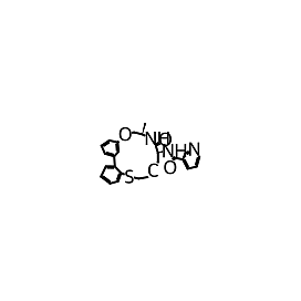 C[C@@H]1COc2cccc(c2)-c2ccccc2SCCCC[C@H](NC(=O)c2cccnc2)C(=O)N1